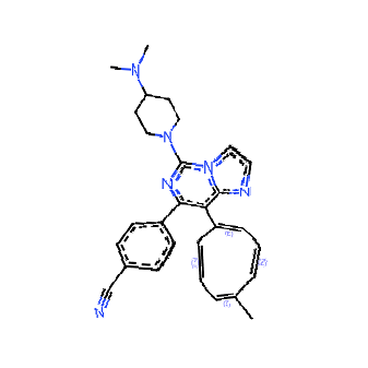 CC1=C/C=C\C(c2c(-c3ccc(C#N)cc3)nc(N3CCC(N(C)C)CC3)n3ccnc23)=C/C=C\1